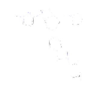 Cn1ccc(-n2ccc3c(CN4CCCC4)cc(-c4ccc5c(c4)CN(C4CCC(=O)NC4=O)C5=O)nc32)n1